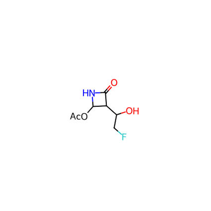 CC(=O)OC1NC(=O)C1C(O)CF